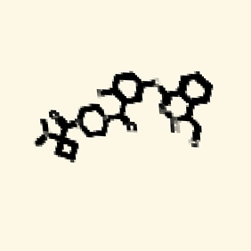 CN(C)C1(C(=O)N2CCN(C(=O)c3cc(OC4=NNC(C=O)c5ccccc54)ccc3F)CC2)CCC1